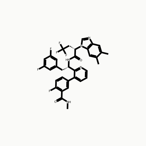 CNC(=O)c1cc(-c2cccnc2[C@H](Cc2cc(F)cc(F)c2)NC(=O)[C@H](CC(F)(F)F)n2cnc3cc(C)c(C)cc32)ccc1F